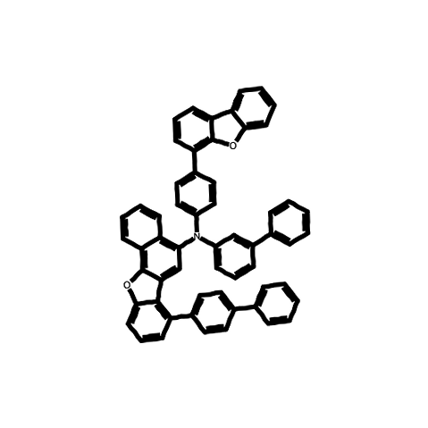 c1ccc(-c2ccc(-c3cccc4oc5c6ccccc6c(N(c6ccc(-c7cccc8c7oc7ccccc78)cc6)c6cccc(-c7ccccc7)c6)cc5c34)cc2)cc1